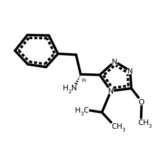 COc1nnc([C@H](N)Cc2ccccc2)n1C(C)C